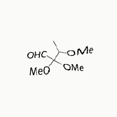 COC(C)C(C=O)(OC)OC